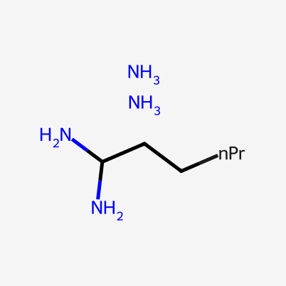 CCCCCC(N)N.N.N